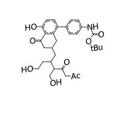 CC(=O)CC(=O)C(CO)C(CCO)CC1CC(=O)c2c(O)ccc(-c3ccc(NC(=O)OC(C)(C)C)cc3)c2C1